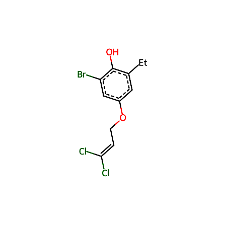 CCc1cc(OCC=C(Cl)Cl)cc(Br)c1O